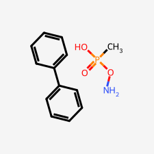 CP(=O)(O)ON.c1ccc(-c2ccccc2)cc1